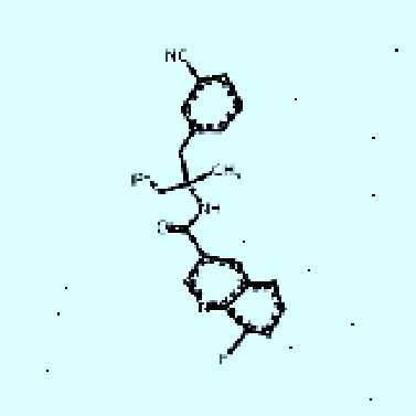 CC(C)CC(C)(Cc1cccc(C#N)c1)NC(=O)c1cnc2c(F)cccc2c1